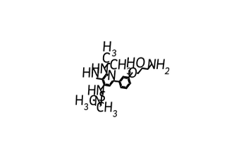 CC(C)Nc1nc(-c2cccc(OCC(O)CN)c2)cc(NSN(C)C)c1C=N